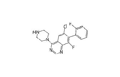 Fc1ccccc1-c1c(Cl)cc2c(N3CCNCC3)ncnc2c1F